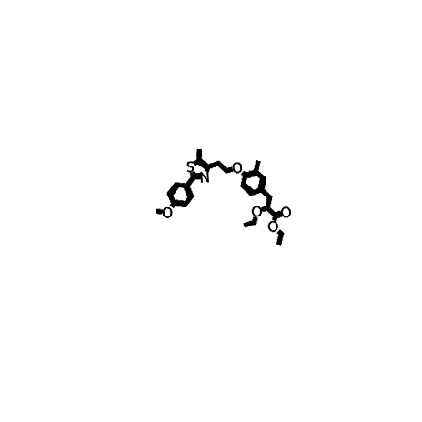 CCOC(=O)C(Cc1ccc(OCCc2nc(-c3ccc(OC)cc3)sc2C)c(C)c1)OCC